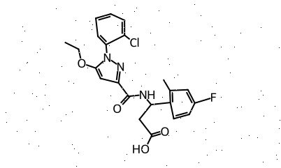 CCOc1cc(C(=O)NC(CC(=O)O)c2ccc(F)cc2C)nn1-c1ccccc1Cl